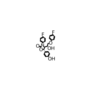 O=C1O[C@@H](c2ccc(O)cc2)[C@@H]([C@@H](O)COc2ccc(F)cc2)N1c1ccc(F)cc1